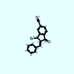 N#Cc1ccc2c(c1)C(Br)/C(=C\c1ccccc1)C2=O